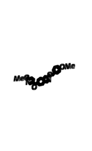 COC1=CCC=C(COc2cc3c(cn2)CCC(C(=O)c2ccc(OC)nc2)CC3)C=C1